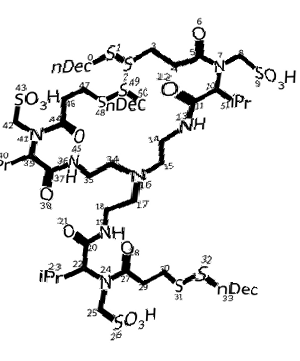 CCCCCCCCCCSSCCC(=O)N(CS(=O)(=O)O)C(C(=O)NCCN(CCNC(=O)C(C(C)C)N(CS(=O)(=O)O)C(=O)CCSSCCCCCCCCCC)CCNC(=O)C(C(C)C)N(CS(=O)(=O)O)C(=O)CCSSCCCCCCCCCC)C(C)C